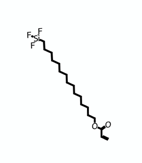 C=CC(=O)OCCCCCCCCCCCCCCC[Si](F)(F)F